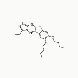 CCCCOc1cc2c(cc1OCCCC)C1=Nn3c(CC)nnc3SC1C2